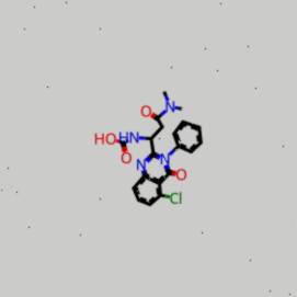 CN(C)C(=O)CC(NC(=O)O)c1nc2cccc(Cl)c2c(=O)n1-c1ccccc1